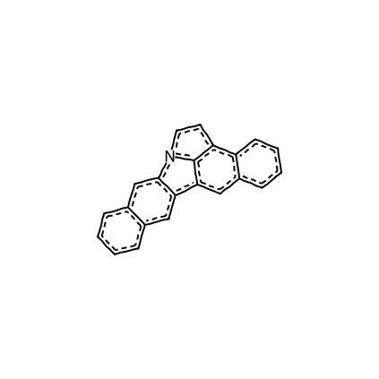 c1ccc2cc3c(cc2c1)c1cc2ccccc2c2ccn3c21